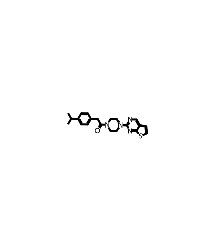 CC(C)c1ccc(CC(=O)N2CCN(c3ncc4ccsc4n3)CC2)cc1